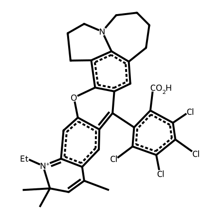 CC[N+]1=c2cc3c(cc2C(C)=CC1(C)C)=C(c1c(Cl)c(Cl)c(Cl)c(Cl)c1C(=O)O)c1cc2c4c(c1O3)CCCN4CCCC2